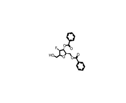 O=C(OC[C@H]1OC(CO)[C@@H](F)[C@@H]1OC(=O)c1ccccc1)c1ccccc1